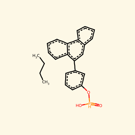 CCCC.O=[PH](O)Oc1cccc(-c2cc3ccccc3c3ccccc23)c1